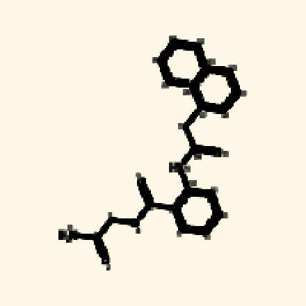 NC(=O)COC(=O)c1ccccc1NC(=O)Cc1cccc2ccccc12